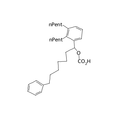 CCCCCc1cccc(C(CCCCCCc2ccccc2)OC(=O)O)c1CCCCC